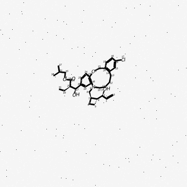 C=C[C@H](O)[C@@H]1CC[C@H]1CN1CCCCc2cc(Cl)ccc2COc2ccc([C@@H](O)[C@@H](CC)C(=O)OCC(C)C)cc21